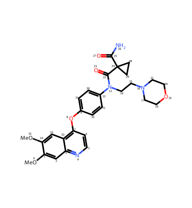 COc1cc2nccc(Oc3ccc(N(CCN4CCOCC4)C(=O)C4(C(N)=O)CC4)cc3)c2cc1OC